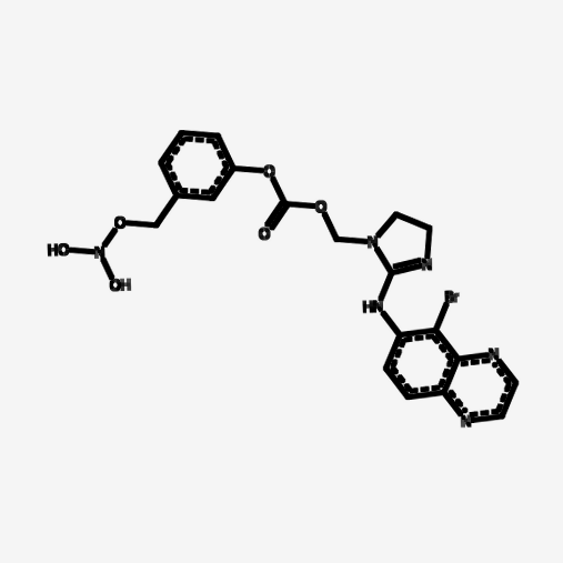 O=C(OCN1CCN=C1Nc1ccc2nccnc2c1Br)Oc1cccc(CON(O)O)c1